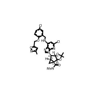 CNC(=O)[C@@]12C[C@@H]1[C@@H](n1cnc3c(NCc4cc(Cl)ccc4OCc4cc(C)no4)cc(Cl)nc31)[C@@H]1OC(C)(C)O[C@@H]12